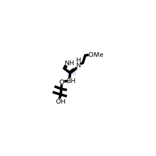 COCCN/C=C(/BOC(C)(C)C(C)(C)O)C=N